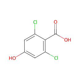 O=C(O)c1c(Cl)cc(O)cc1Cl